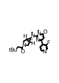 CN(c1nc(-c2ccncc2F)cc(=O)n1C)[C@H]1[C@@H]2CN(C(=O)CC(C)(C)C)C[C@@H]21